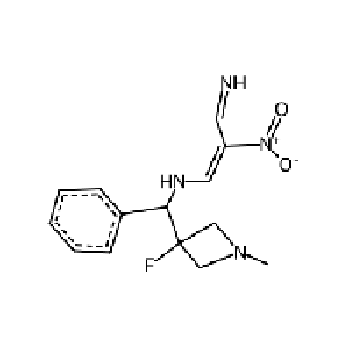 CN1CC(F)(C(N/C=C(\C=N)[N+](=O)[O-])c2ccccc2)C1